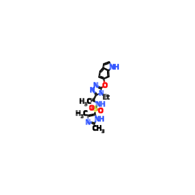 CCn1c(Oc2ccc3cc[nH]c3c2)nnc1[C@@H](C)NS(=O)(=O)c1[nH]c(C)nc1C